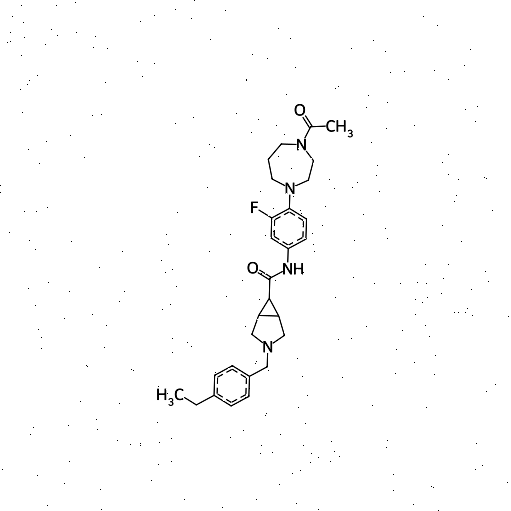 CCc1ccc(CN2CC3C(C2)C3C(=O)Nc2ccc(N3CCCN(C(C)=O)CC3)c(F)c2)cc1